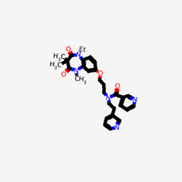 CCN1C(=O)C(C)(C)C(=O)N(C)c2cc(OCCCN(CCc3cccnc3)C(=O)c3cccnc3)ccc21